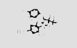 Cc1cc(C)c(S(=O)(=O)NC(I)(COc2ccc(Br)c(C)c2)C(F)(F)F)c(C)c1